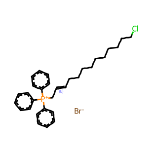 ClCCCCCCCCCC/C=C/C[P+](c1ccccc1)(c1ccccc1)c1ccccc1.[Br-]